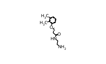 Cc1cccc(OSCC(=O)NCCN)c1C